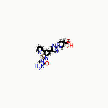 CCN(C(N)=O)c1nc2cc(-c3cnc(N4CCC(C)(C(=O)O)CC4)nc3)cc(-c3ccccn3)c2s1